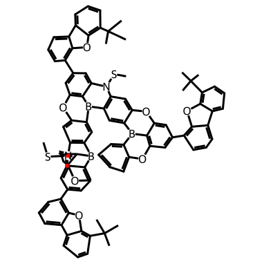 CSN1c2cc3c(cc2B2c4cc5c(cc4Oc4cc(-c6cccc7c6oc6c(C(C)(C)C)cccc67)cc1c42)N(SC)c1cc(-c2cccc4c2oc2c(C(C)(C)C)cccc24)cc2c1B5c1ccccc1O2)B1c2ccccc2Oc2cc(-c4cccc5c4oc4c(C(C)(C)C)cccc45)cc(c21)O3